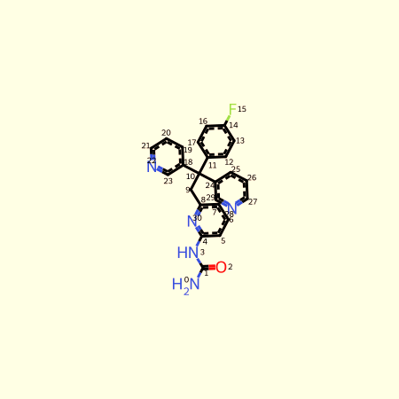 NC(=O)Nc1cccc(CC(c2ccc(F)cc2)(c2cccnc2)c2cccnc2)n1